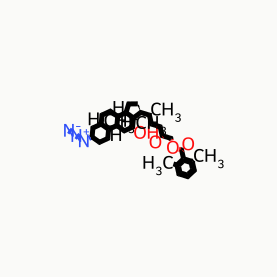 Cc1cccc(C)c1C(=O)OCC(=O)CC[C@@H](C)[C@H]1CC[C@H]2[C@@H]3CC[C@@H]4CC(N=[N+]=[N-])CC[C@]4(C)[C@H]3C[C@H](O)[C@]12C